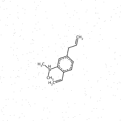 C=CCc1ccc(C=C)c([SiH](C)C)c1